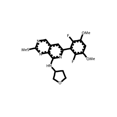 COc1cc(OC)c(F)c(-c2cc3cnc(SC)nc3c(NC3CCOC3)n2)c1F